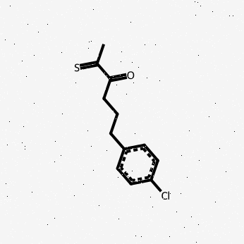 CC(=S)C(=O)CCCc1ccc(Cl)cc1